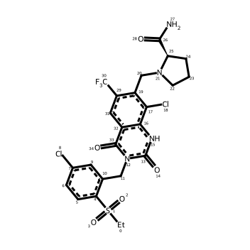 CCS(=O)(=O)c1ccc(Cl)cc1Cn1c(=O)[nH]c2c(Cl)c(CN3CCC[C@@H]3C(N)=O)c(C(F)(F)F)cc2c1=O